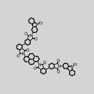 CCn1c2ccccc2c2cc(N3C(=O)c4ccc(-c5cccc6c5C(=O)N(c5ccc7ccc8c(N9C(=O)c%10cccc(-c%11ccc%12c(c%11)C(=O)N(c%11ccc%13c(c%11)c%11ccccc%11n%13CC)C%12=O)c%10C9=O)ccc9ccc5c7c98)C6=O)cc4C3=O)ccc21